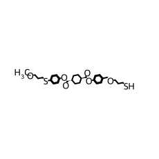 COCCCSc1ccc(OC(=O)[C@H]2CC[C@H](C(=O)Oc3ccc(COCCCS)cc3)CC2)cc1